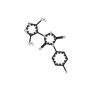 Cc1noc(C)c1-n1sc(=O)n(-c2ccc(F)cc2)c1=O